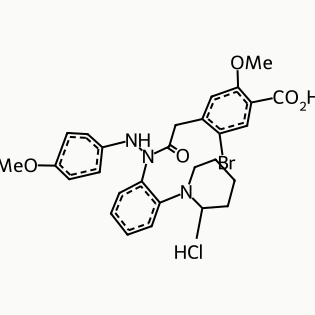 COc1ccc(NN(C(=O)Cc2cc(OC)c(C(=O)O)cc2Br)c2ccccc2N2CCCCC2C)cc1.Cl